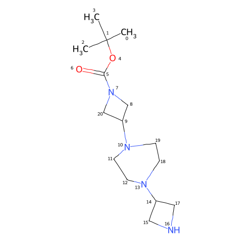 CC(C)(C)OC(=O)N1CC(N2CCN(C3CNC3)CC2)C1